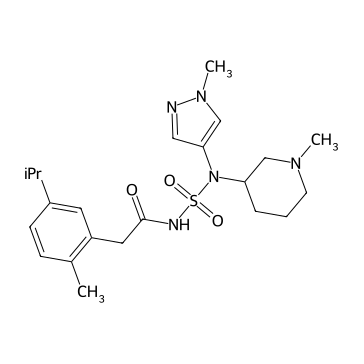 Cc1ccc(C(C)C)cc1CC(=O)NS(=O)(=O)N(c1cnn(C)c1)C1CCCN(C)C1